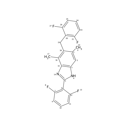 Cc1cc2[nH]c(-c3c(F)cccc3F)nc2c(C)c1Cc1c(F)cccc1F